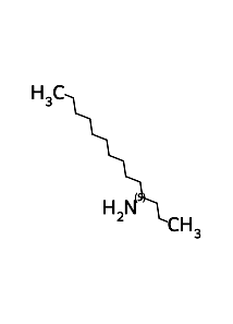 CCCCCCCCCC[C@@H](N)CCC